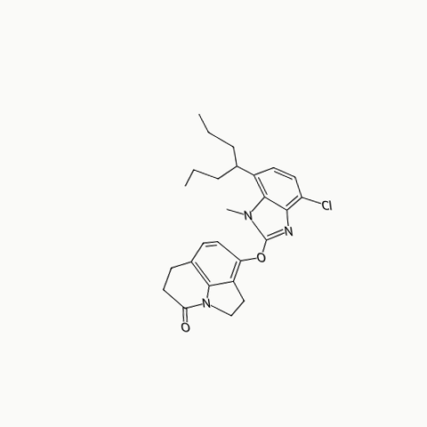 CCCC(CCC)c1ccc(Cl)c2nc(Oc3ccc4c5c3CCN5C(=O)CC4)n(C)c12